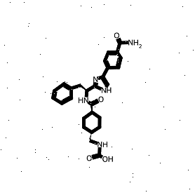 NC(=O)c1ccc(-c2c[nH]c([C@H](Cc3ccccc3)NC(=O)[C@H]3CC[C@H](CNC(=O)O)CC3)n2)cc1